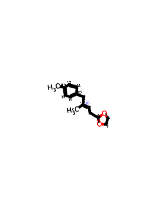 C/C(=C\CC1OCCO1)Cc1ccc(C)cc1